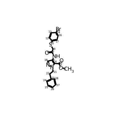 COC(=O)c1c(NC(=O)CSc2ccc(Br)cc2)cnn1CCc1ccccc1